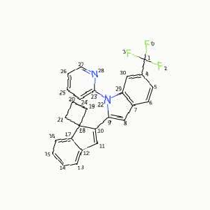 FC(F)(F)c1ccc2cc(C3=Cc4ccccc4C34CCC4)n(-c3ccccn3)c2c1